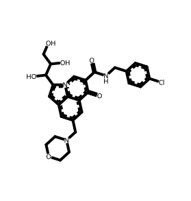 O=C(NCc1ccc(Cl)cc1)c1cn2c(C(O)C(O)CO)cc3cc(CN4CCOCC4)cc(c1=O)c32